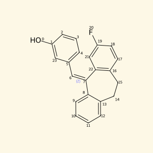 Oc1cccc(/C=C2/c3ccccc3CCc3ccc(F)cc32)c1